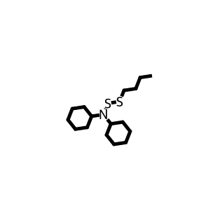 CCCCSSN(C1CCCCC1)C1CCCCC1